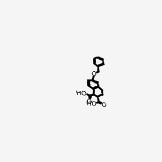 O=C(O)C1CCc2cc(OCc3ccccc3)ccc2C1C(=O)O